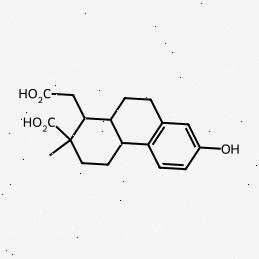 CC1(C(=O)O)CCC2c3ccc(O)cc3CCC2C1CC(=O)O